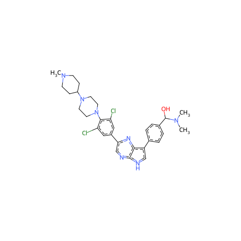 CN1CCC(N2CCN(c3c(Cl)cc(-c4cnc5[nH]cc(-c6ccc(C(O)N(C)C)cc6)c5n4)cc3Cl)CC2)CC1